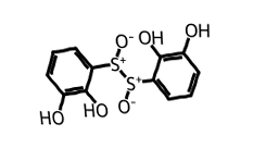 [O-][S+](c1cccc(O)c1O)[S+]([O-])c1cccc(O)c1O